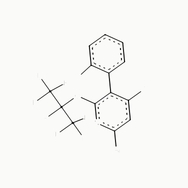 Cc1[c]c(Br)nc(OC(F)(C(F)(F)F)C(F)(F)F)c1-c1ccccc1F